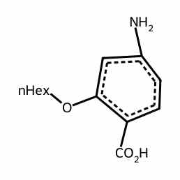 CCCCCCOc1cc(N)ccc1C(=O)O